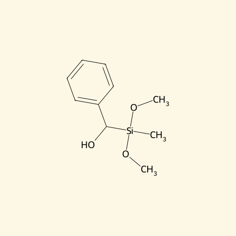 CO[Si](C)(OC)C(O)c1ccccc1